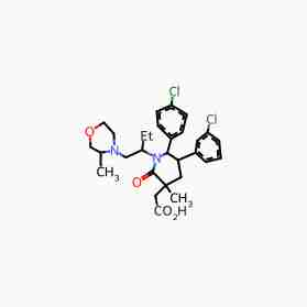 CCC(CN1CCOCC1C)N1C(=O)C(C)(CC(=O)O)CC(c2cccc(Cl)c2)C1c1ccc(Cl)cc1